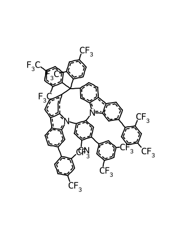 N#Cc1cc2c(cc1-c1cc(C(F)(F)F)cc(C(F)(F)F)c1)-n1c3cc(-c4ccc(C(F)(F)F)cc4C(F)(F)F)ccc3c3ccc(cc31)C(c1ccc(C(F)(F)F)cc1C(F)(F)F)(c1ccc(C(F)(F)F)cc1C(F)(F)F)c1ccc3c4ccc(-c5ccc(C(F)(F)F)cc5C(F)(F)F)cc4n-2c3c1